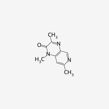 Cc1cc2c(cn1)nc(C)c(=O)n2C